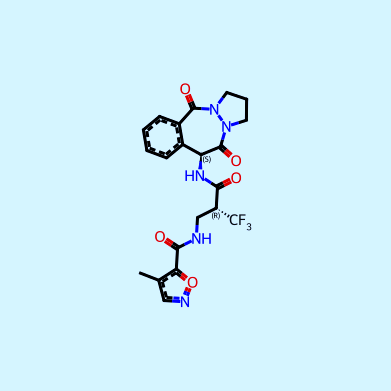 Cc1cnoc1C(=O)NC[C@H](C(=O)N[C@@H]1C(=O)N2CCCN2C(=O)c2ccccc21)C(F)(F)F